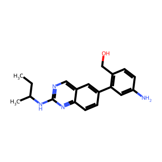 CCC(C)Nc1ncc2cc(-c3cc(N)ccc3CO)ccc2n1